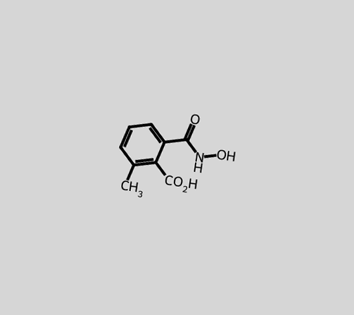 Cc1cccc(C(=O)NO)c1C(=O)O